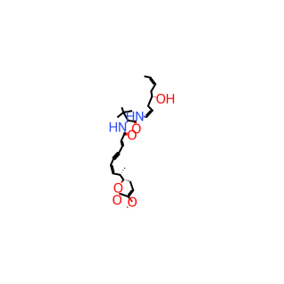 C/C=C\C[C@H](O)C/C=C\NC(=O)[C@@H](NC(=O)/C=C/C#C/C=C\[C@H](C)[C@@H]1CC=C(OC)C(=O)O1)C(C)(C)C